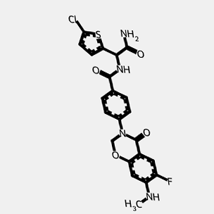 CNc1cc2c(cc1F)C(=O)N(c1ccc(C(=O)NC(C(N)=O)c3ccc(Cl)s3)cc1)CO2